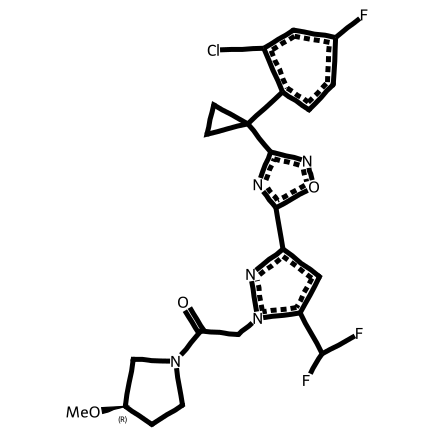 CO[C@@H]1CCN(C(=O)Cn2nc(-c3nc(C4(c5ccc(F)cc5Cl)CC4)no3)cc2C(F)F)C1